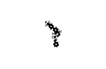 O=C(OCc1ccccc1)N1CC[C@@H]2C[C@H]1c1cc(-c3ccc(C(F)(F)F)cc3)ccc12